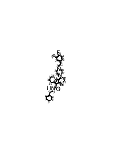 O=C(NCCc1ccccc1)c1c2n(c3c(N4CCN(CCc5ccc(F)c(F)c5)CC4)ncnc13)CCCC2